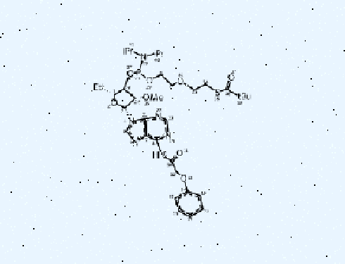 CC[C@H]1O[C@@H](n2cnc3c(NC(=O)COc4ccccc4)ncnc32)[C@@H](OC)C1OP(OCCOCCSC(=O)C(C)(C)C)N(C(C)C)C(C)C